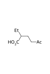 CCC(CCC(C)=O)C(=O)O